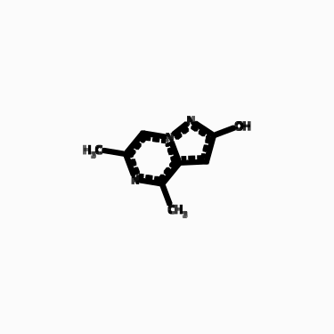 Cc1cn2nc(O)cc2c(C)n1